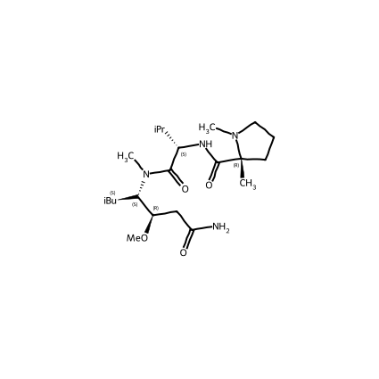 CC[C@H](C)[C@@H]([C@@H](CC(N)=O)OC)N(C)C(=O)[C@@H](NC(=O)[C@@]1(C)CCCN1C)C(C)C